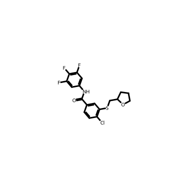 O=C(Nc1cc(F)c(F)c(F)c1)c1ccc(Cl)c(SCC2CCCO2)c1